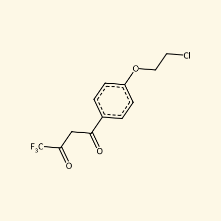 O=C(CC(=O)C(F)(F)F)c1ccc(OCCCl)cc1